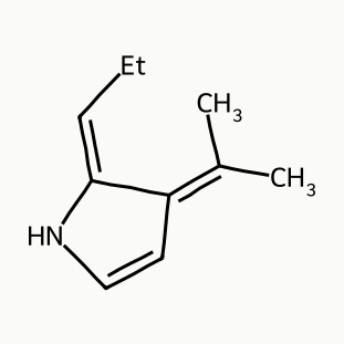 CC/C=c1/[nH]ccc1=C(C)C